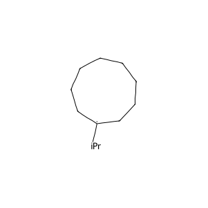 CC(C)[C]1CCCCCCCC1